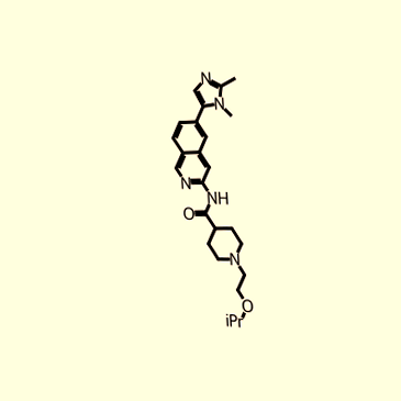 Cc1ncc(-c2ccc3cnc(NC(=O)C4CCN(CCOC(C)C)CC4)cc3c2)n1C